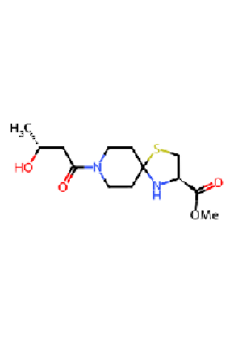 COC(=O)[C@@H]1CSC2(CCN(C(=O)C[C@@H](C)O)CC2)N1